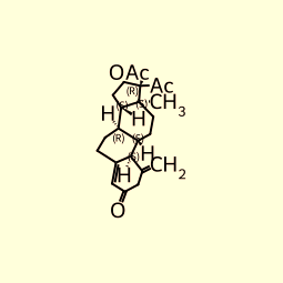 C=C1CC(=O)C=C2CC[C@@H]3[C@H](CC[C@@]4(C)[C@H]3CC[C@]4(OC(C)=O)C(C)=O)[C@@H]12